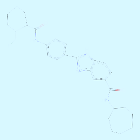 O=C(NC1CCCCCC1)c1ccc2[nH]c(-c3ccc(NC(=O)C4CCCCC4CF)cc3)nc2c1